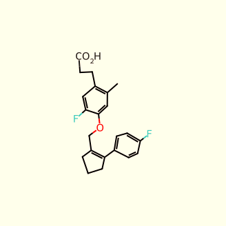 Cc1cc(OCC2=C(c3ccc(F)cc3)CCC2)c(F)cc1CCC(=O)O